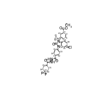 COC(=O)c1cccc(C2(n3c(=O)n(-c4ccc(C(=O)NNC(=O)C5CCC(F)(F)CC5)cc4)c4cc(Cl)ccc43)CC2)c1